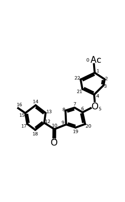 CC(=O)c1ccc(Oc2ccc(C(=O)c3ccc(C)cc3)cc2)cc1